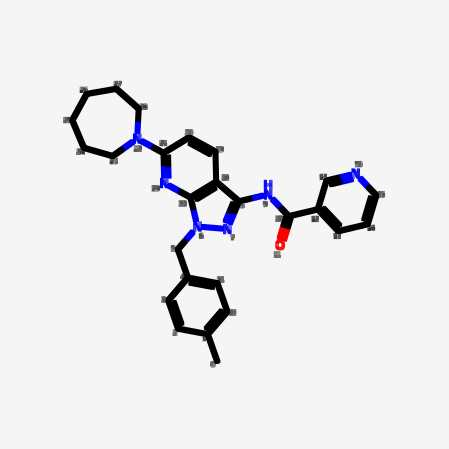 Cc1ccc(Cn2nc(NC(=O)c3cccnc3)c3ccc(N4CCCCCC4)nc32)cc1